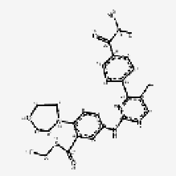 Cc1cnc(Nc2ccc(N3CCOCC3)c(C(=O)SCF)c2)nc1-c1ccc(C(=O)N(C)C#N)cc1